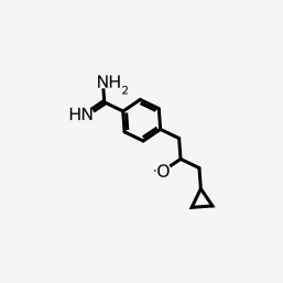 N=C(N)c1ccc(CC([O])CC2CC2)cc1